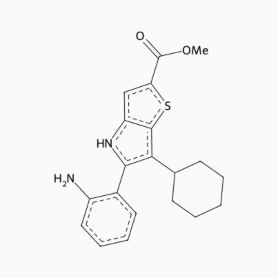 COC(=O)c1cc2[nH]c(-c3ccccc3N)c(C3CCCCC3)c2s1